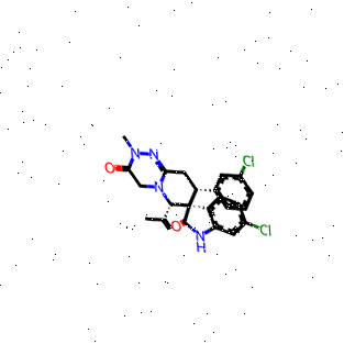 C=C(C)[C@@H]1N2CC(=O)N(C)N=C2C[C@H](c2cccc(Cl)c2)[C@@]12C(=O)Nc1cc(Cl)ccc12